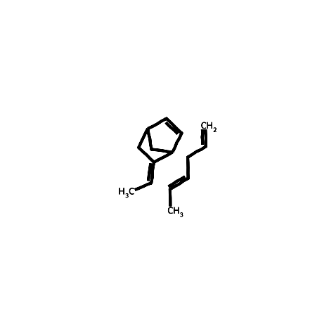 C=CCC=CC.CC=C1CC2C=CC1C2